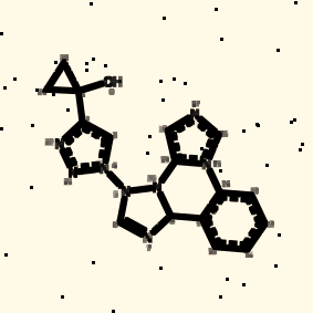 OC1(c2cn(N3C=NC4c5ccccc5-n5cncc5N43)nn2)CC1